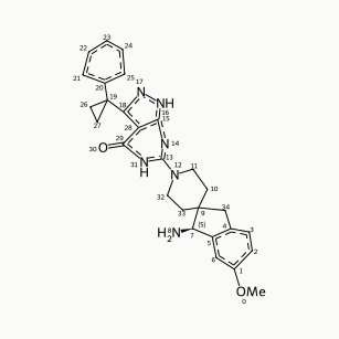 COc1ccc2c(c1)[C@@H](N)C1(CCN(c3nc4[nH]nc(C5(c6ccccc6)CC5)c4c(=O)[nH]3)CC1)C2